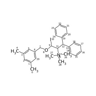 Cc1cc(C)cc(COC(I)C(C(c2ccccc2)c2ccccc2)[N+](C)(C)C)c1